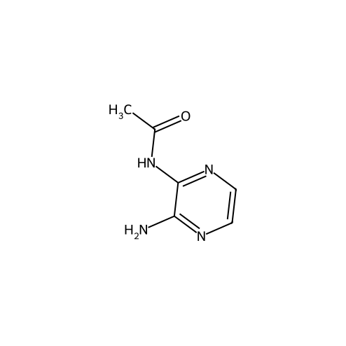 CC(=O)Nc1nccnc1N